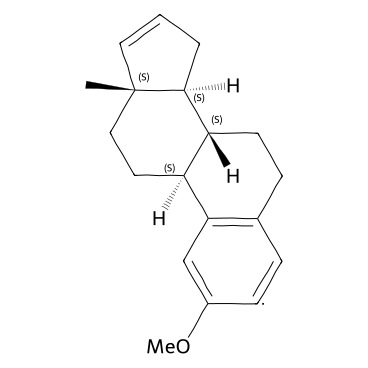 COc1[c]cc2c(c1)[C@H]1CC[C@]3(C)C=CC[C@H]3[C@@H]1CC2